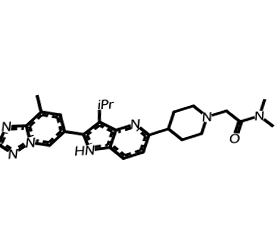 Cc1cc(-c2[nH]c3ccc(C4CCN(CC(=O)N(C)C)CC4)nc3c2C(C)C)cn2ncnc12